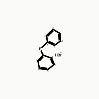 Br.[B](c1ccccc1)c1ccccc1